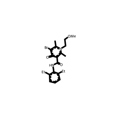 CCc1cccc(CC)c1NC(=O)c1c(C)n(CCOC)c(C)c(Br)c1=O